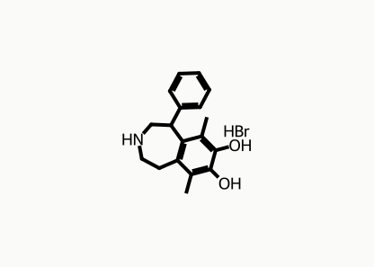 Br.Cc1c(O)c(O)c(C)c2c1CCNCC2c1ccccc1